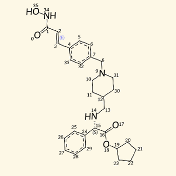 O=C(/C=C/c1ccc(CN2CCC(CN[C@H](C(=O)OC3CCCC3)c3ccccc3)CC2)cc1)NO